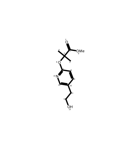 COC(=O)C(C)(C)Oc1ccc(CCO)cn1